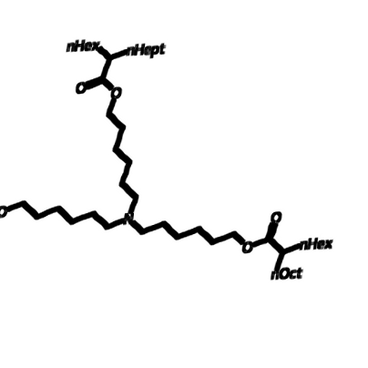 CCCCCCCCC(CCCCCC)C(=O)OCCCCCCN(CCCCCCO)CCCCCCOC(=O)C(CCCCCC)CCCCCCC